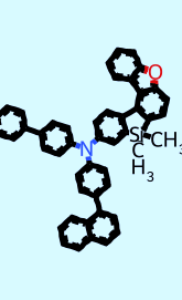 C[Si]1(C)c2cc(N(c3ccc(-c4ccccc4)cc3)c3ccc(-c4cccc5ccccc45)cc3)ccc2-c2c1ccc1oc3ccccc3c21